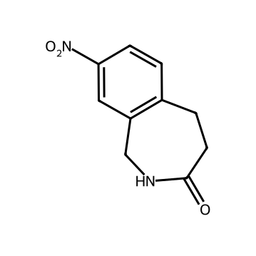 O=C1CCc2ccc([N+](=O)[O-])cc2CN1